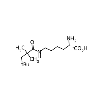 CC(C)(C)CC(C)(C)C(=O)NCCCC[C@H](N)C(=O)O